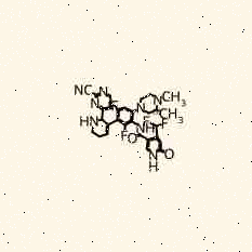 C[C@H]1CN(c2cc(F)c(C3=CCCNC3c3ccnc(C#N)n3)c(F)c2NC(=O)c2c[nH]c(=O)cc2C(F)F)CCN1C